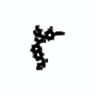 COc1ccc([C@H](NC(=O)c2ccc3cnc(NC(C)CO)cc3n2)c2cnn(C)c2)cc1F